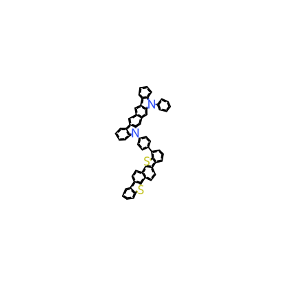 c1ccc(-n2c3ccccc3c3cc4cc5c6ccccc6n(-c6ccc(-c7cccc8c7sc7c8ccc8c7ccc7c9ccccc9sc78)cc6)c5cc4cc32)cc1